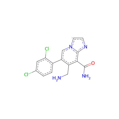 NCc1c(-c2ccc(Cl)cc2Cl)cn2[c]cnc2c1C(N)=O